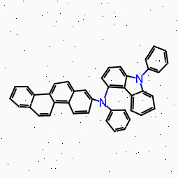 c1ccc(N(c2ccc3c(ccc4c5ccccc5ccc34)c2)c2cccc3c2c2ccccc2n3-c2ccccc2)cc1